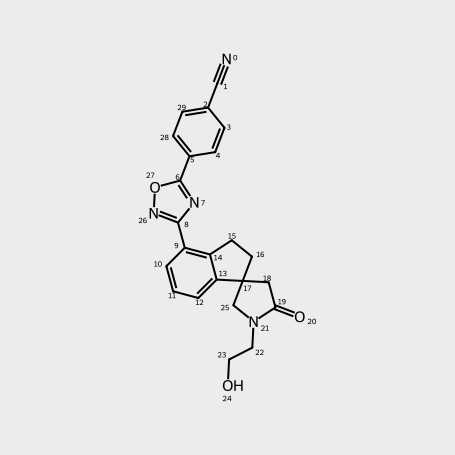 N#Cc1ccc(-c2nc(-c3cccc4c3CCC43CC(=O)N(CCO)C3)no2)cc1